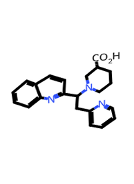 O=C(O)C1CCCN(C(Cc2ccccn2)c2ccc3ccccc3n2)C1